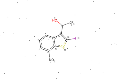 O=[N+]([O-])c1cccc2c(C(O)C(F)(F)F)c(I)sc12